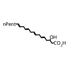 CCCCCC=CCC=CCC=CCC=CCC(O)CC(=O)O